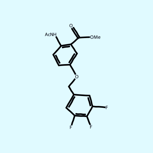 COC(=O)c1cc(OCc2cc(F)c(F)c(F)c2)ccc1NC(C)=O